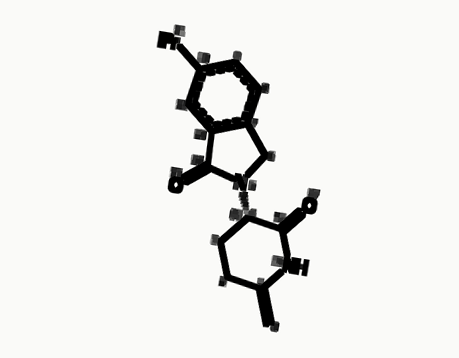 C=C1CC[C@H](N2Cc3ccc(C(C)C)cc3C2=O)C(=O)N1